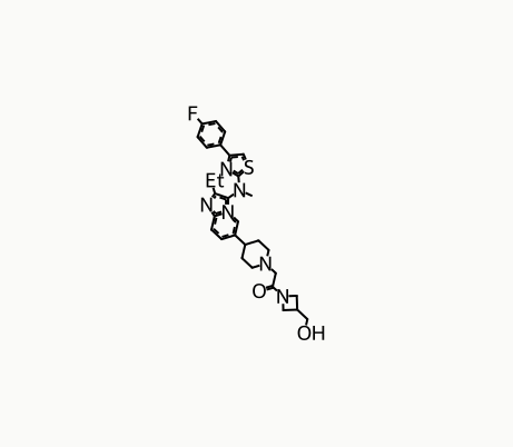 CCc1nc2ccc(C3CCN(CC(=O)N4CC(CO)C4)CC3)cn2c1N(C)c1nc(-c2ccc(F)cc2)cs1